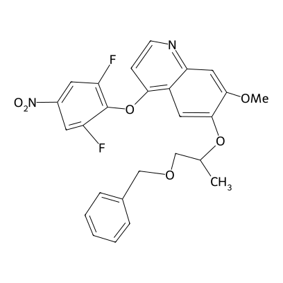 COc1cc2nccc(Oc3c(F)cc([N+](=O)[O-])cc3F)c2cc1OC(C)COCc1ccccc1